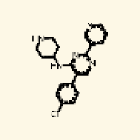 Clc1ccc(-c2cnc(-c3cccnc3)nc2NC2CCNCC2)cc1